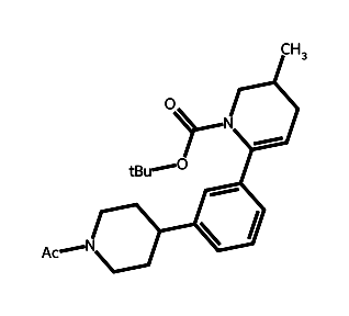 CC(=O)N1CCC(c2cccc(C3=CCC(C)CN3C(=O)OC(C)(C)C)c2)CC1